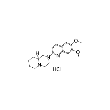 COc1cc2ccc(N3CCN4CCCC[C@@H]4C3)nc2cc1OC.Cl